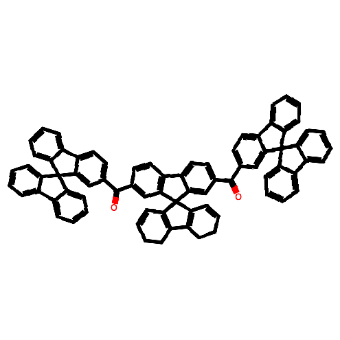 O=C(c1ccc2c(c1)C1(C3=C(CCC=C3)C3=C1C=CCC3)c1cc(C(=O)c3ccc4c(c3)C3(c5ccccc5-c5ccccc53)c3ccccc3-4)ccc1-2)c1ccc2c(c1)C1(c3ccccc3-c3ccccc31)c1ccccc1-2